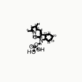 Cc1cc(C)c(/C=C2\C(=O)N(COP(=O)(O)O)c3ccccc32)[nH]1